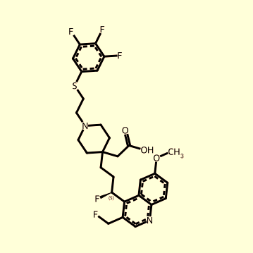 COc1ccc2ncc(CF)c([C@@H](F)CCC3(CC(=O)O)CCN(CCSc4cc(F)c(F)c(F)c4)CC3)c2c1